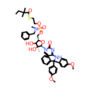 CCC(C)(C)C(=O)SCCOP(=O)(OC[C@H]1O[C@@H](n2ccc(NC(c3ccccc3)(c3ccc(OC)cc3)c3ccc(OC)cc3)nc2=O)[C@@](C)(O)C1O)N(C)Cc1ccccc1